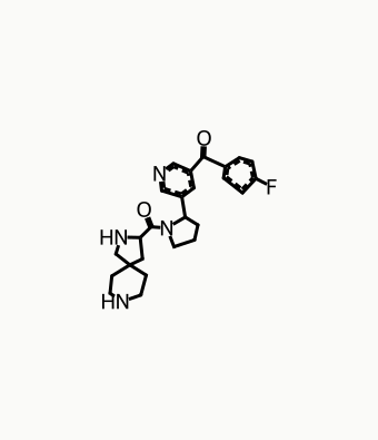 O=C(c1ccc(F)cc1)c1cncc(C2CCCN2C(=O)C2CC3(CCNCC3)CN2)c1